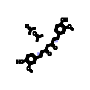 CC(C)=O.CC(C)=O.COc1cc(/C=C/C(=O)CC(=O)/C=C/c2ccc(O)c(OC)c2)ccc1O